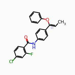 C/C=C(\Oc1ccccc1)c1ccc(NC(=O)c2ccc(Cl)cc2F)cc1